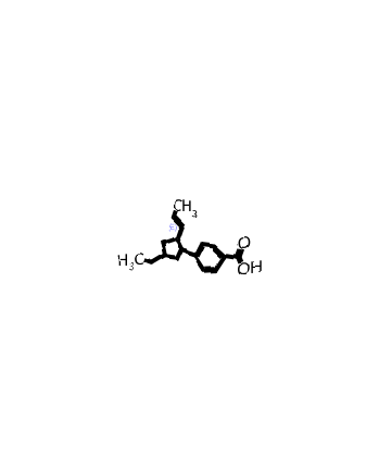 C/C=C/C1CC(CC)CC1c1ccc(C(=O)O)cc1